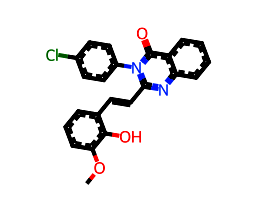 COc1cccc(C=Cc2nc3ccccc3c(=O)n2-c2ccc(Cl)cc2)c1O